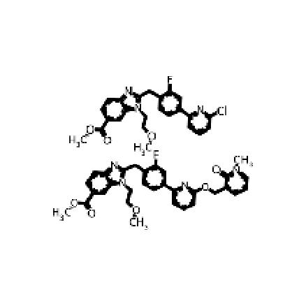 COCCn1c(Cc2ccc(-c3cccc(Cl)n3)cc2F)nc2ccc(C(=O)OC)cc21.COCCn1c(Cc2ccc(-c3cccc(OCc4cccn(C)c4=O)n3)cc2F)nc2ccc(C(=O)OC)cc21